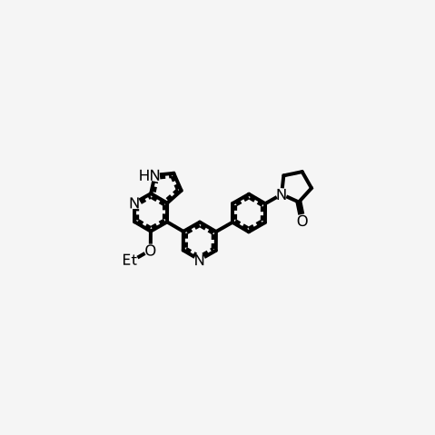 CCOc1cnc2[nH]ccc2c1-c1cncc(-c2ccc(N3CCCC3=O)cc2)c1